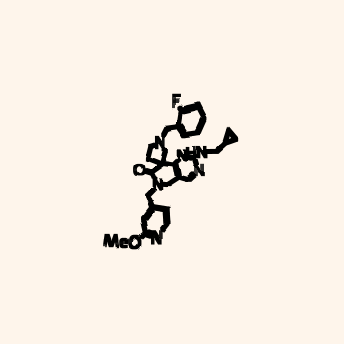 COc1cc(CN2Cc3cnc(NCC4CC4)nc3C3(CCN(Cc4ccccc4F)C3)C2=O)ccn1